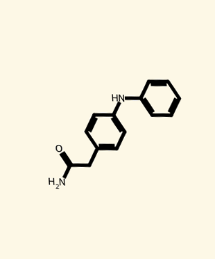 NC(=O)Cc1ccc(Nc2ccccc2)cc1